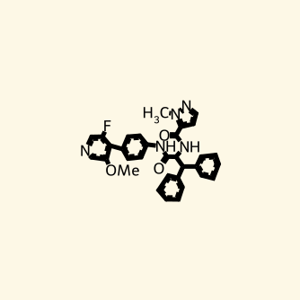 COc1cncc(F)c1-c1ccc(NC(=O)C(NC(=O)c2ccnn2C)C(c2ccccc2)c2ccccc2)cc1